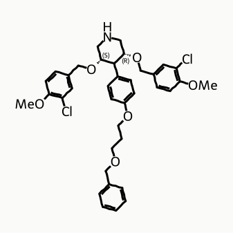 COc1ccc(CO[C@H]2CNC[C@@H](OCc3ccc(OC)c(Cl)c3)C2c2ccc(OCCCOCc3ccccc3)cc2)cc1Cl